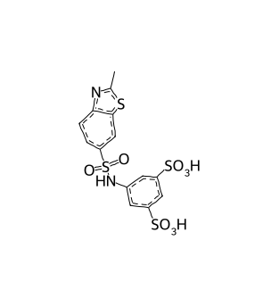 Cc1nc2ccc(S(=O)(=O)Nc3cc(S(=O)(=O)O)cc(S(=O)(=O)O)c3)cc2s1